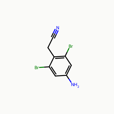 N#CCc1c(Br)cc(N)cc1Br